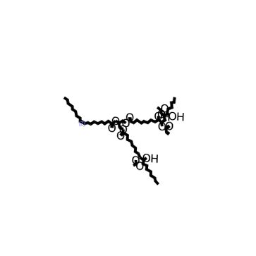 C=CC(=O)OC(CC(OC(C)=O)C(O)CCCCC)C(O)CCCCCCCC(=O)OCC(COC(=O)CCCCCCCC(OC(C)=O)C(O)CCCCCCCC)OC(=O)CCCCCCC/C=C\CCCCCCCC